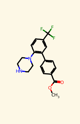 COC(=O)c1ccc(-c2cc(C(F)(F)F)ccc2N2CCNCC2)cc1